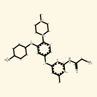 Cc1cc(Sc2cnc(N3CCN(C)CC3)c(OC3CCC(N)CC3)c2)nc(NC(=O)CN)n1